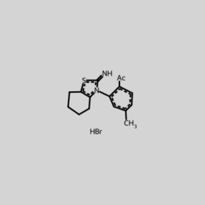 Br.CC(=O)c1ccc(C)cc1-n1c2c(sc1=N)CCCC2